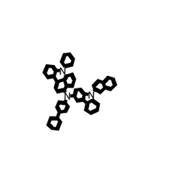 c1ccc(-c2ccc(N(c3ccc4c(c3)c3ccccc3n4-c3ccc4ccccc4c3)c3ccc4c5c(cccc35)N(c3ccccc3)c3ccccc3-4)cc2)cc1